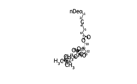 CCCCCCCCCCCCCCCCC(=O)OC[C@H](CO)OP(=O)([O-])OCC[N+](C)(C)C